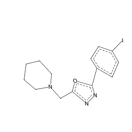 Ic1ccc(-c2nnc(CN3CCCCC3)o2)cc1